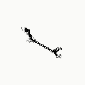 C#CCOCC(COCC#C)(COCC(=C)C)NC(=O)CCOCCOCCOCCOCCOCCOCCNC(=O)CC[C@@H](C)NC(=O)c1ccc(NCc2cnc3nc(N)[nH]c(=O)c3n2)cc1